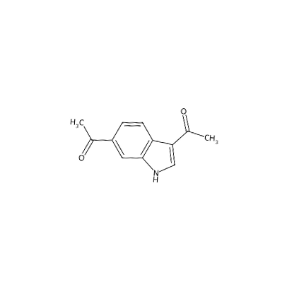 CC(=O)c1ccc2c(C(C)=O)c[nH]c2c1